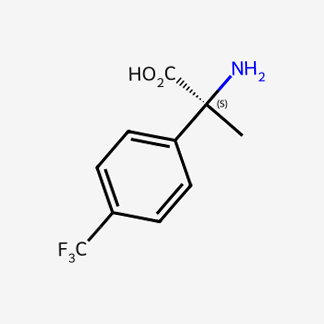 C[C@@](N)(C(=O)O)c1ccc(C(F)(F)F)cc1